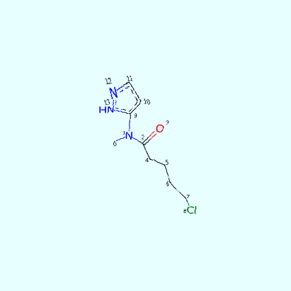 CN(C(=O)CCCCCl)c1ccn[nH]1